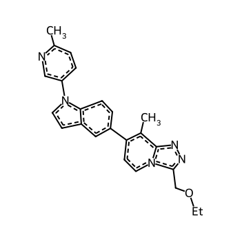 CCOCc1nnc2c(C)c(-c3ccc4c(ccn4-c4ccc(C)nc4)c3)ccn12